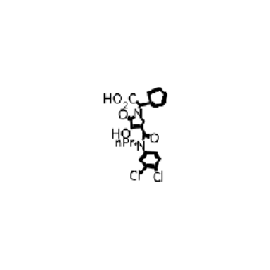 CCCN(C(=O)C1=C(O)C(=O)N(C(C(=O)O)c2ccccc2)C1)c1ccc(Cl)c(Cl)c1